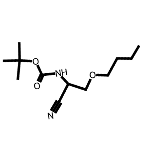 CCCCOCC(C#N)NC(=O)OC(C)(C)C